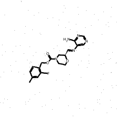 Cc1ccc(COC(=O)N2CCO[C@H](/C=N/c3cncnc3N)C2)c(F)c1